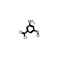 Nc1cc(N=O)cc(C(=O)Cl)c1